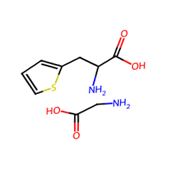 NC(Cc1cccs1)C(=O)O.NCC(=O)O